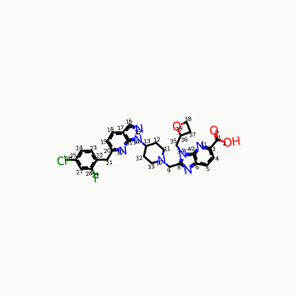 O=C(O)c1ccc2nc(CN3CCC(n4ncc5ccc(Cc6ccc(Cl)cc6F)nc54)CC3)n(CC3CCO3)c2n1